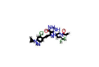 C=CC(=O)N1C[C@H](n2nc(C#Cc3cc4ncn(C5CC5)c4cc3Cl)c(C(N)=O)c2NC)C[C@@H]1C(F)F